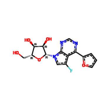 OC[C@H]1O[C@@H](n2cc(F)c3c(-c4ccco4)ncnc32)[C@H](O)[C@@H]1O